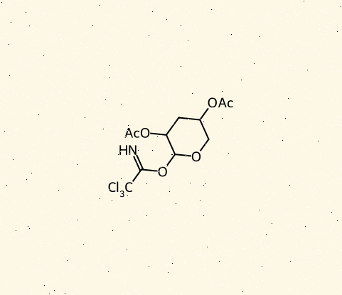 CC(=O)OC1COC(OC(=N)C(Cl)(Cl)Cl)C(OC(C)=O)C1